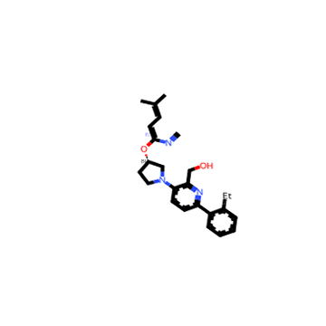 C=N/C(=C\C=C(C)C)O[C@H]1CCN(c2ccc(-c3ccccc3CC)nc2CO)C1